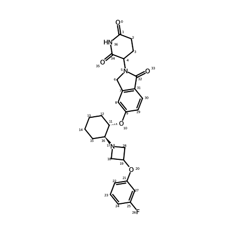 O=C1CCC(N2Cc3cc(O[C@H]4CCCC[C@@H]4N4CC(Oc5cccc(F)c5)C4)ccc3C2=O)C(=O)N1